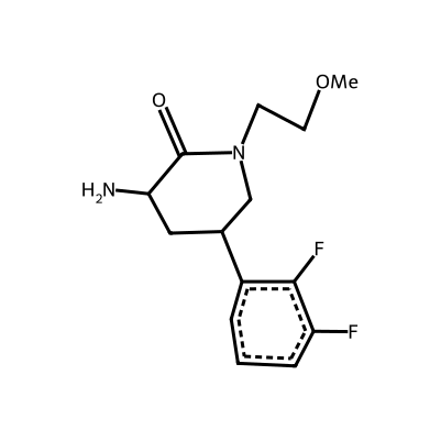 COCCN1CC(c2cccc(F)c2F)CC(N)C1=O